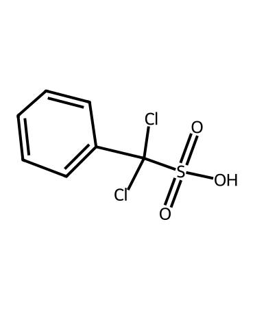 O=S(=O)(O)C(Cl)(Cl)c1ccccc1